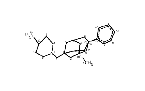 C[C@@]12CC3CC(CN4CCC(N)CC4)(C1)C[C@](c1ccccc1)(C3)C2